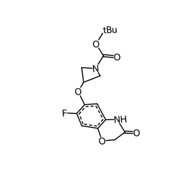 CC(C)(C)OC(=O)N1CC(Oc2cc3c(cc2F)OCC(=O)N3)C1